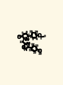 CCOc1ccc(-c2ccc(=O)n(Cc3nc(-c4ccc(OC)cc4)no3)n2)cc1